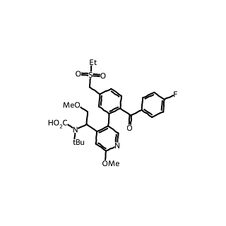 CCS(=O)(=O)Cc1ccc(C(=O)c2ccc(F)cc2)c(-c2cnc(OC)cc2C(COC)N(C(=O)O)C(C)(C)C)c1